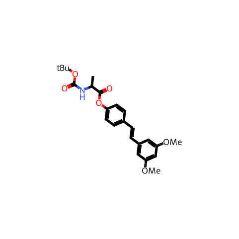 COc1cc(C=Cc2ccc(OC(=O)C(C)NC(=O)OC(C)(C)C)cc2)cc(OC)c1